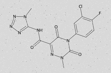 Cn1nnnc1NC(=O)c1nn(C)c(=O)n(-c2ccc(F)c(Cl)c2)c1=O